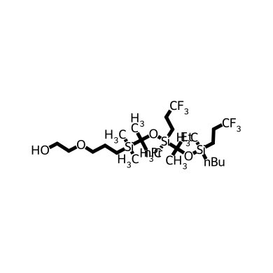 CCCC[Si](C)(CCC(F)(F)F)OC(C)(CC)[Si](C)(CCC(F)(F)F)OC(C)(CCC)[Si](C)(C)CCCOCCO